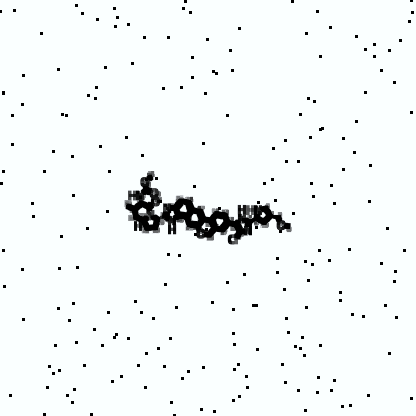 COC[C@@H]1CN[C@H](c2nc(Cl)c(-c3ccc4c(c3)COc3cc5c(ccc6nc([C@@H]7CC[C@@H]8CC(C)[C@H](NC(=O)OC)C(=O)N87)[nH]c65)cc3-4)[nH]2)C1